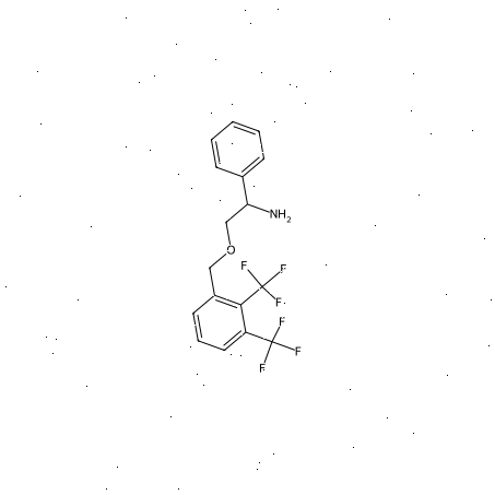 NC(COCc1cccc(C(F)(F)F)c1C(F)(F)F)c1ccccc1